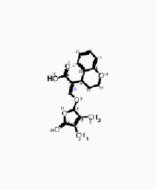 CC1=C(C)C(O/C=C(/C(=O)O)C2CCOc3ccccc32)OC1=O